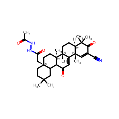 CC(=O)NNC(=O)C[C@]12CCC(C)(C)CC1C1C(=O)C=C3[C@@]4(C)C=C(C#N)C(=O)C(C)(C)[C@@H]4CC[C@@]3(C)[C@]1(C)CC2